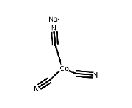 N#[C][Co]([C]#N)[C]#N.[Na]